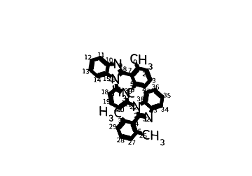 Cc1cccc(C)c1-c1nc2ccccc2n1-c1cccc(-n2c(-c3c(C)cccc3C)nc3ccccc32)n1